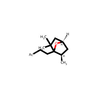 CC(=O)CCC12O[C@H](C[C@H]1C)CC2(C)C